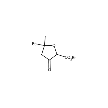 CCOC(=O)C1OC(C)(CC)CC1=O